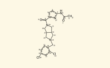 CC(=O)Nc1ccn(C(=O)N2CC3CN(Cc4ccc(Cl)cc4Cl)CC3C2)n1